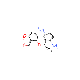 CC(OC1C=CC=C2OCOC=C21)c1cc(N)ccc1N